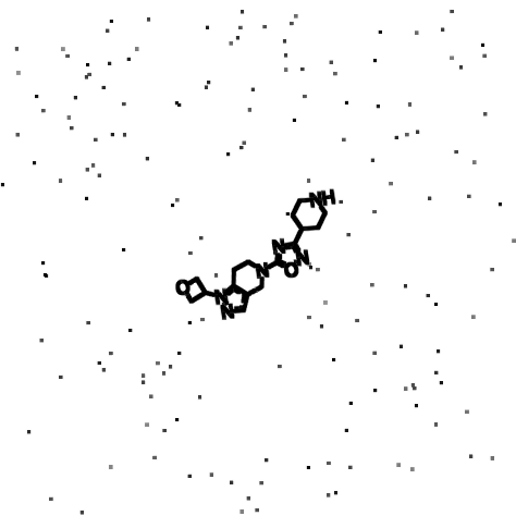 c1nn(C2COC2)c2c1CN(c1nc(C3CCNCC3)no1)CC2